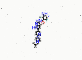 NC1=CCC(F)C(C(=O)Nc2cnc3[nH]c(-c4ccc(N5CCN(CC6CC6)CC5)nc4)cc3c2)=C1F